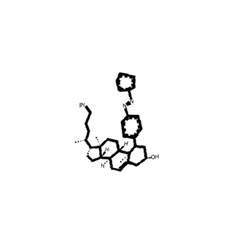 CC(C)CCC[C@@H](C)[C@H]1CC[C@H]2[C@@H]3CC=C4C[C@@H](O)CC(c5ccc(/N=N/c6ccccc6)cc5)[C@]4(C)[C@H]3CC[C@]12C